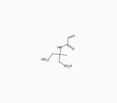 C=CC(=O)NC(C)(CC(=O)O)CS(=O)(=O)O